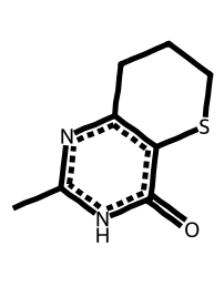 Cc1nc2c(c(=O)[nH]1)SCCC2